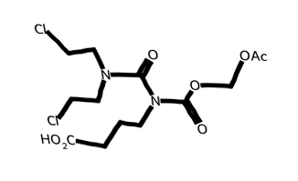 CC(=O)OCOC(=O)N(CCCC(=O)O)C(=O)N(CCCl)CCCl